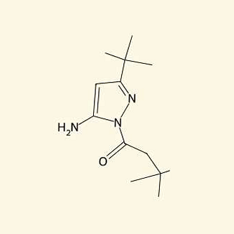 CC(C)(C)CC(=O)n1nc(C(C)(C)C)cc1N